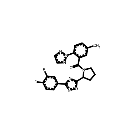 Cc1ccc(-n2nccn2)c(C(=O)N2CCCC2c2nc(-c3ccc(F)c(F)c3)no2)c1